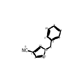 N#Cc1cnn(Cc2ccccc2)c1